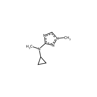 CN(c1ncn(C)n1)C1CC1